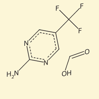 Nc1ncc(C(F)(F)F)cn1.O=CO